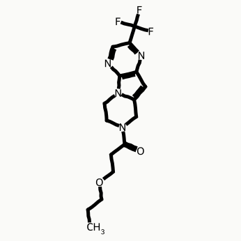 CCCOCCC(=O)N1CCn2c(cc3nc(C(F)(F)F)cnc32)C1